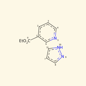 CCOC(=O)c1cccnc1.c1cn[nH]c1